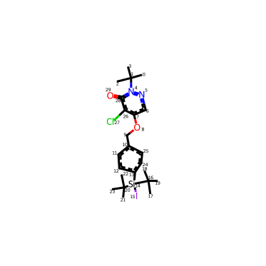 CC(C)(C)n1ncc(OCc2ccc([Si](I)(C(C)(C)C)C(C)(C)C)cc2)c(Cl)c1=O